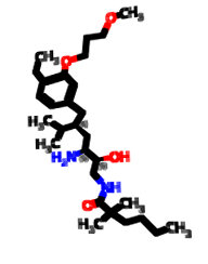 CCCCC(C)(C)C(=O)NC[C@H](O)[C@@H](N)C[C@H](Cc1ccc(CC)c(OCCCOC)c1)C(C)C